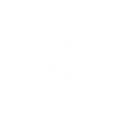 CCS(=O)(I)=S(=S)=S=S=S